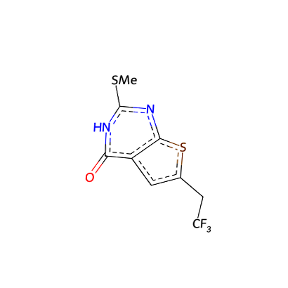 CSc1nc2sc(CC(F)(F)F)cc2c(=O)[nH]1